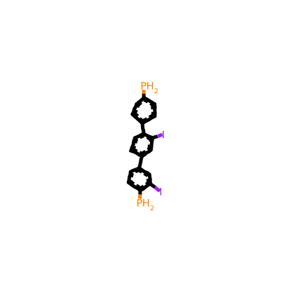 Pc1ccc(-c2ccc(-c3ccc(P)c(I)c3)cc2I)cc1